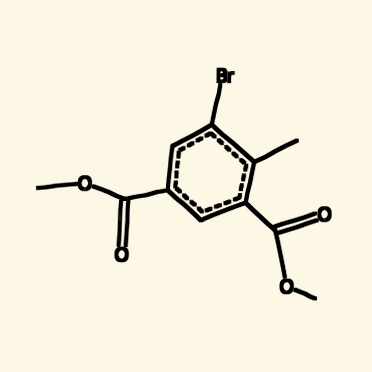 COC(=O)c1cc(Br)c(C)c(C(=O)OC)c1